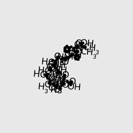 CC(C)[C@H](NC(=O)[C@H](Cc1ccccc1)NC(=O)[C@@H]1CCCN1C(=O)CNC(=O)CNC(=O)[C@H](CO)NC(=O)[C@H](CC(=O)O)NC(=O)CNC(=O)[C@H](CCC(=O)O)NC(=O)[C@H](CS)NC(=O)[C@H](C)NC(=O)[C@@H](N)CC(=O)O)C(=O)O